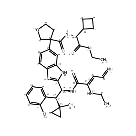 CCNC(=O)[C@H](NC(=O)C1(c2ccc3nc([C@@H](NC(=O)/C(=C/C=N)NCC)[C@H](c4ccccc4Cl)C4(C)CC4)[nH]c3c2)CCOC1)C1CCC1